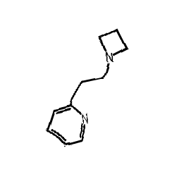 [c]1ccc(CCN2CCC2)nc1